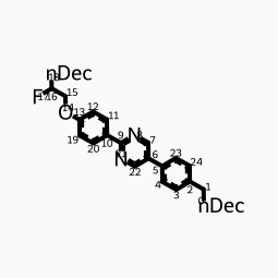 CCCCCCCCCCCc1ccc(-c2cnc(-c3ccc(OCC(F)CCCCCCCCCC)cc3)nc2)cc1